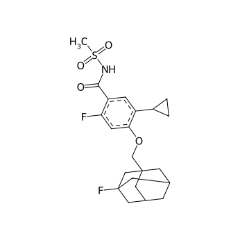 CS(=O)(=O)NC(=O)c1cc(C2CC2)c(OCC23CC4CC(CC(F)(C4)C2)C3)cc1F